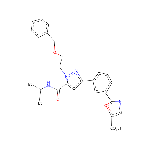 CCOC(=O)c1cnc(-c2cccc(-c3cc(C(=O)NC(CC)CC)n(CCOCc4ccccc4)n3)c2)o1